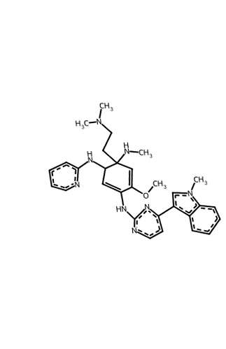 CNC1(CCN(C)C)C=C(OC)C(Nc2nccc(-c3cn(C)c4ccccc34)n2)=CC1Nc1ccccn1